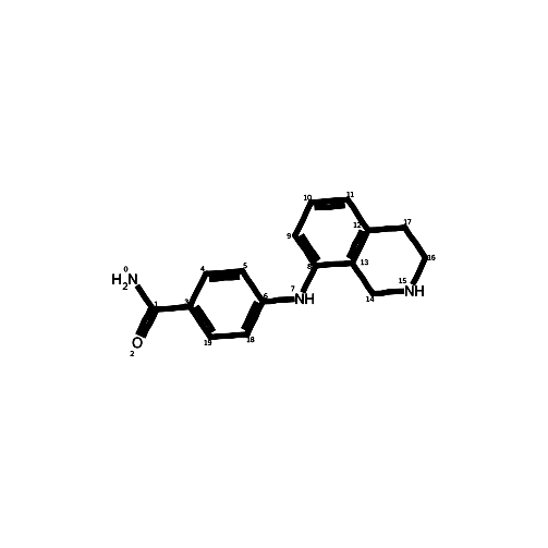 NC(=O)c1ccc(Nc2cccc3c2CNCC3)cc1